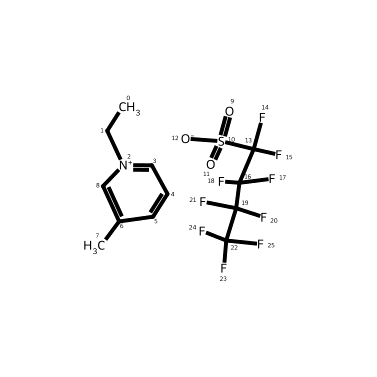 CC[n+]1cccc(C)c1.O=S(=O)([O-])C(F)(F)C(F)(F)C(F)(F)C(F)(F)F